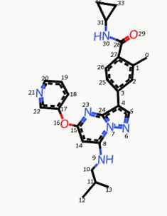 Cc1cc(-c2cnn3c(NCC(C)C)cc(Oc4cccnc4)nc23)ccc1C(=O)NC1CC1